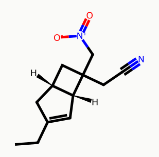 CCC1=C[C@@H]2[C@H](C1)CC2(CC#N)C[N+](=O)[O-]